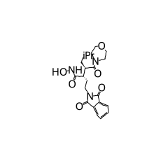 CC(C)C[C@@H](C(=O)N1CCOCC1)[C@H](CCN1C(=O)c2ccccc2C1=O)C(=O)NO